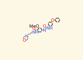 COc1cc(N(C)C(=O)Nc2ccc(Oc3ccccc3)cc2)ccc1C(=O)NCCCN1CCOCC1